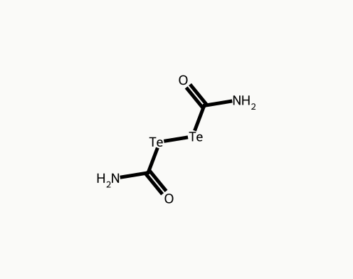 NC(=O)[Te][Te]C(N)=O